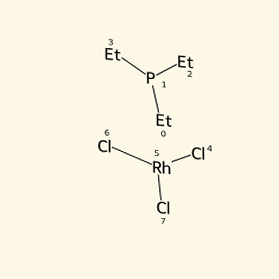 CCP(CC)CC.[Cl][Rh]([Cl])[Cl]